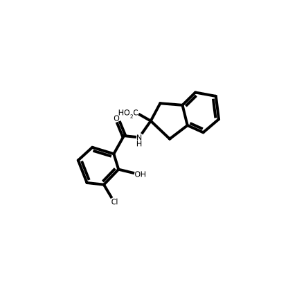 O=C(NC1(C(=O)O)Cc2ccccc2C1)c1cccc(Cl)c1O